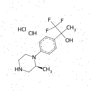 C[C@H]1CNCCN1c1ccc(C(C)(O)C(F)(F)F)cc1.Cl.Cl